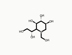 OC[C@@H](O)C1[C@@H](O)[C@H](O)[C@@H](O)CN1CO